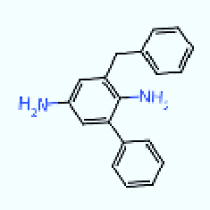 Nc1cc(Cc2ccccc2)c(N)c(-c2ccccc2)c1